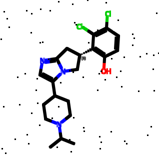 CC(C)N1CCC(c2cnc3n2C[C@@H](c2c(O)ccc(Cl)c2Cl)C3)CC1